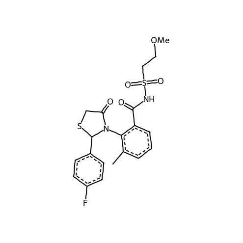 COCCS(=O)(=O)NC(=O)c1cccc(C)c1N1C(=O)CSC1c1ccc(F)cc1